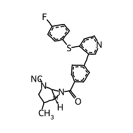 CC1CN(C#N)C2[C@@H]1N2C(=O)c1ccc(-c2cnccc2Sc2ccc(F)cc2)cc1